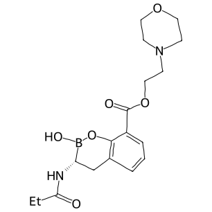 CCC(=O)N[C@H]1Cc2cccc(C(=O)OCCN3CCOCC3)c2OB1O